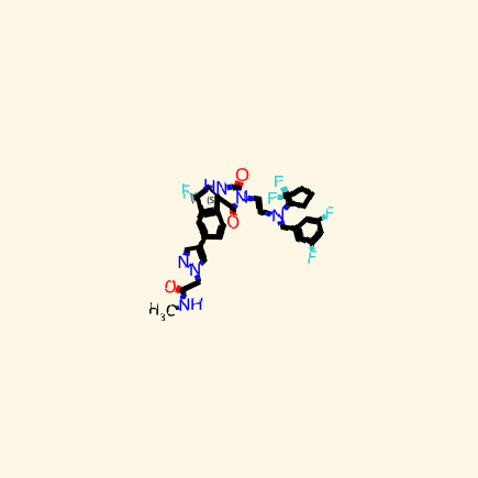 CNC(=O)Cn1cc(-c2ccc3c(c2)[C@H](F)C[C@]32NC(=O)N(CCN(Cc3cc(F)cc(F)c3)C3CCCC3(F)F)C2=O)cn1